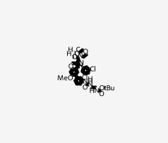 COc1cc2c(cc1-c1cccc(NC(=O)NCCNC(=O)OC(C)(C)C)c1)-c1c(c(C(=O)N3CCOCC3(C)C)nn1-c1cc(Cl)cc(Cl)c1)CO2